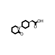 O=C(O)C[C@H]1CC[C@H](N2CCCCC2=O)CC1